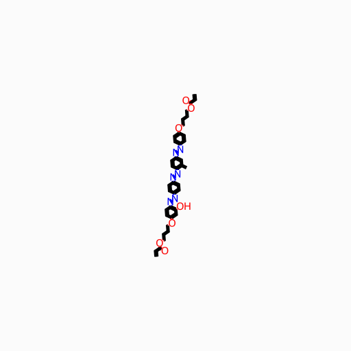 C=CC(=O)OCCCCOc1ccc(N=Nc2ccc(N=Nc3ccc(N=Nc4ccc(OCCCCOC(=O)C=C)cc4O)cc3)c(C)c2)cc1